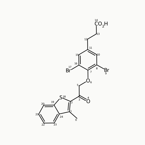 Cc1c(C(=O)COc2c(Br)cc(CCC(=O)O)cc2Br)sc2ccccc12